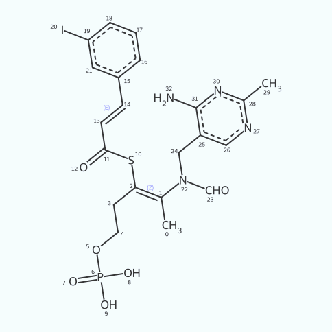 C/C(=C(\CCOP(=O)(O)O)SC(=O)/C=C/c1cccc(I)c1)N(C=O)Cc1cnc(C)nc1N